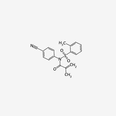 C=C(C)C(=O)N(c1ccc(C#N)cc1)S(=O)(=O)c1ccccc1C